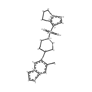 Cc1cc2nccn2nc1C1CCN(S(=O)(=O)c2cnn3c2CCC3)CC1